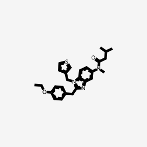 CCOc1ccc(Cc2nc3cc(N(C)C(=O)CC(C)C)ccc3n2Cc2ccsc2)cc1